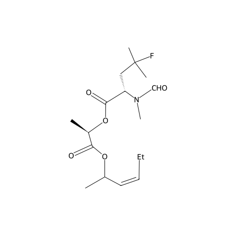 CC/C=C\C(C)OC(=O)[C@@H](C)OC(=O)[C@H](CC(C)(C)F)N(C)C=O